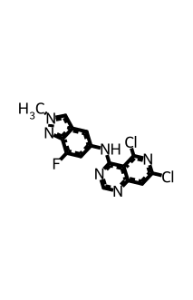 Cn1cc2cc(Nc3ncnc4cc(Cl)nc(Cl)c34)cc(F)c2n1